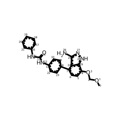 COCOc1ccc(-c2ccc(NC(=O)Nc3ccccc3)cc2)c2c(N)n[nH]c12